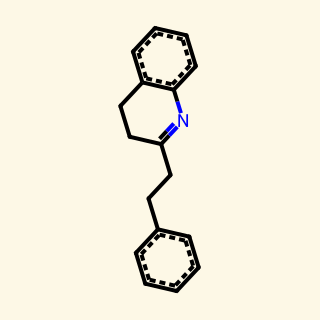 c1ccc(CCC2=Nc3ccccc3CC2)cc1